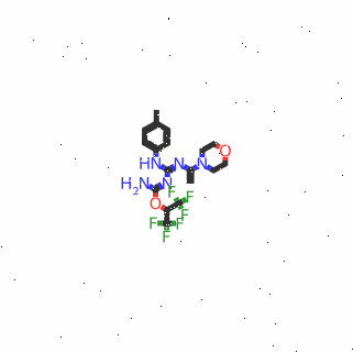 C=C(/N=C(\N=C(/N)OC(C(F)(F)F)C(F)(F)F)Nc1ccc(C)cc1)N1CCOCC1